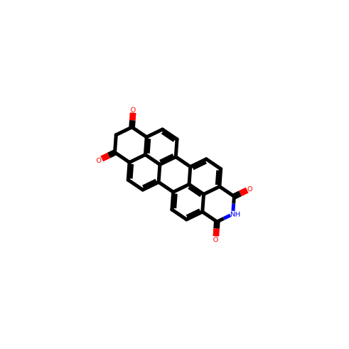 O=C1CC(=O)c2ccc3c4ccc5c6c(ccc(c7ccc1c2c73)c64)C(=O)NC5=O